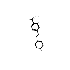 CC[CH]CCC(C)c1ccc(CC[C@H]2CC[C@H](CCC)CC2)cc1